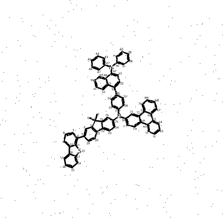 CC1(C)c2cc(-c3cccc4c3sc3ccccc34)ccc2-c2ccc(N(c3ccc(-c4ccc(N(c5ccccc5)c5ccccc5)c5ccccc45)cc3)c3ccc4c5ccccc5c5ccccc5c4c3)cc21